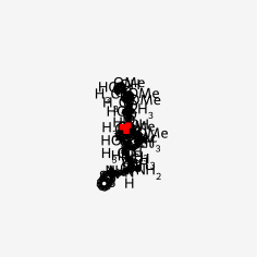 CC#C/C=C\C#C[C@H](OC1OC(C)C(NOC2CC(O)C(SC(=O)c3c(C)c(I)c(OC4OC(C)C(O)C(OC)C4O)c(OC)c3OC)C(C)O2)C(O)C1OC1COCC(N(CC)C(C)=O)C1OC)C1/C(=C\CSSC(C)(C)NNC(=O)[C@H](C)NC(=O)[C@H](CC(N)=O)NC(=O)CCCn2nnc3c2CSC2CCCCCC(CC2)SC3)[C@@H](O)CC(=O)C1NC(=O)OC